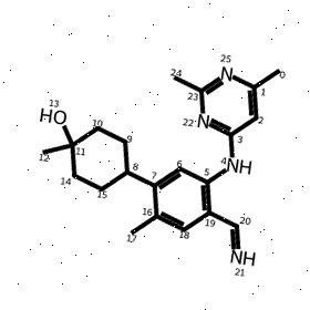 Cc1cc(Nc2cc(C3CCC(C)(O)CC3)c(C)cc2C=N)nc(C)n1